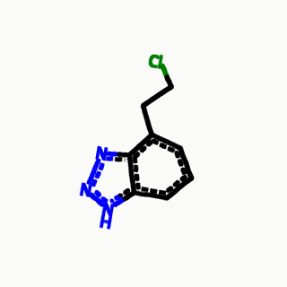 ClCCc1cccc2[nH]nnc12